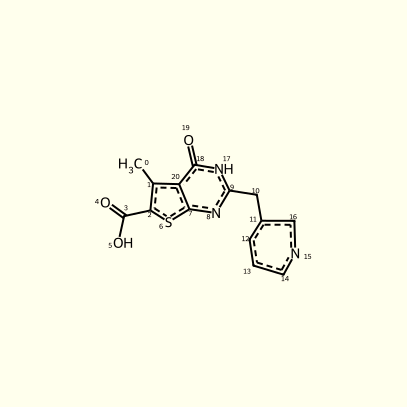 Cc1c(C(=O)O)sc2nc(Cc3cccnc3)[nH]c(=O)c12